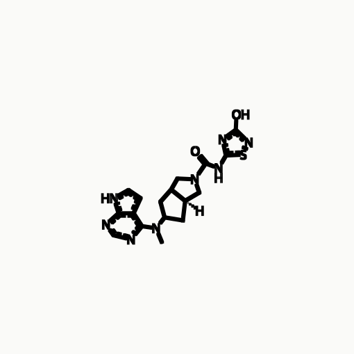 CN(c1ncnc2[nH]ccc12)C1CC2CN(C(=O)Nc3nc(O)ns3)C[C@H]2C1